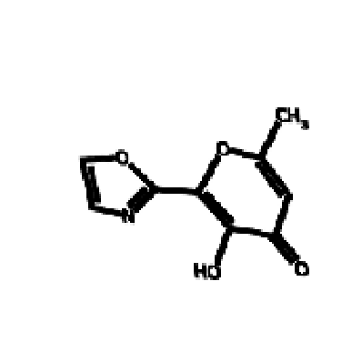 Cc1cc(=O)c(O)c(-c2ncco2)o1